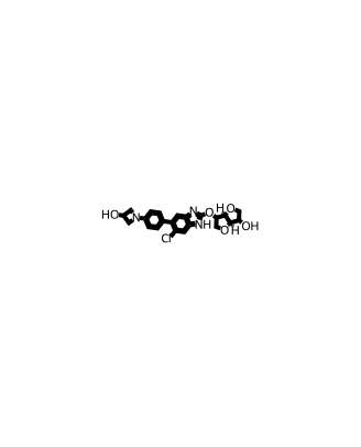 OC1CN(c2ccc(-c3cc4nc(OC5CO[C@@H]6C(O)CO[C@H]56)[nH]c4cc3Cl)cc2)C1